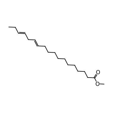 CCC=CCC=CCCCCCCCCCCC(=O)OC